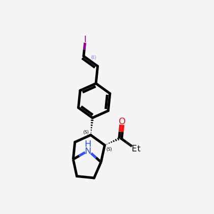 CCC(=O)[C@@H]1C2CCC(C[C@@H]1c1ccc(/C=C/I)cc1)N2